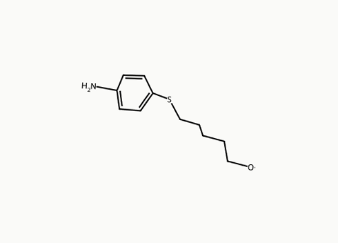 Nc1ccc(SCCCCC[O])cc1